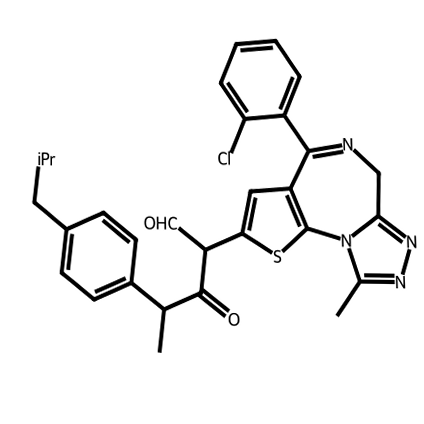 Cc1nnc2n1-c1sc(C(C=O)C(=O)C(C)c3ccc(CC(C)C)cc3)cc1C(c1ccccc1Cl)=NC2